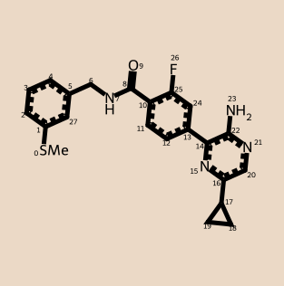 CSc1cccc(CNC(=O)c2ccc(-c3nc(C4CC4)cnc3N)cc2F)c1